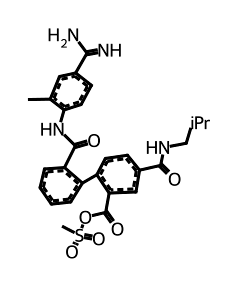 Cc1cc(C(=N)N)ccc1NC(=O)c1ccccc1-c1ccc(C(=O)NCC(C)C)cc1C(=O)OS(C)(=O)=O